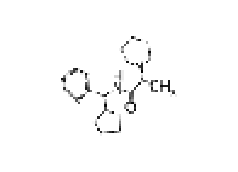 CC(C(=O)NC(c1ccccc1)C1CCCC1)N1CCCCC1